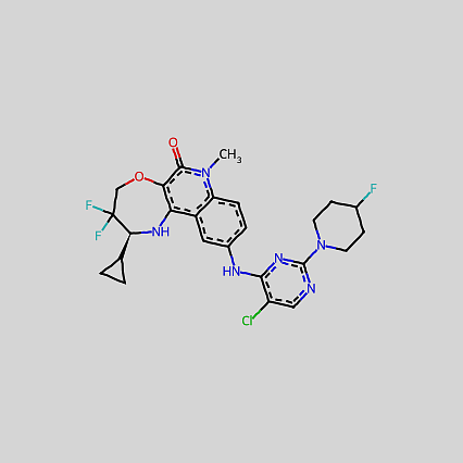 Cn1c(=O)c2c(c3cc(Nc4nc(N5CCC(F)CC5)ncc4Cl)ccc31)N[C@@H](C1CC1)C(F)(F)CO2